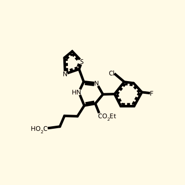 CCOC(=O)C1=C(CCCC(=O)O)NC(c2nccs2)=NC1c1ccc(F)cc1Cl